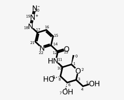 C[C@H]1OC(CO)[C@H](O)[C@H](O)C1NC(=O)c1ccc(N=[N+]=[N-])cn1